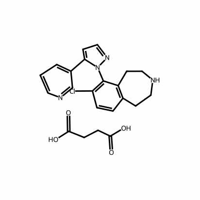 Clc1ccc2c(c1-n1nccc1-c1cccnc1)CCNCC2.O=C(O)CCC(=O)O